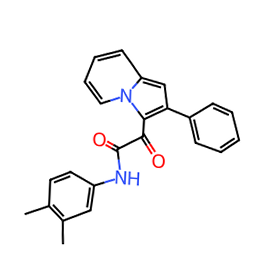 Cc1ccc(NC(=O)C(=O)c2c(-c3ccccc3)cc3ccccn23)cc1C